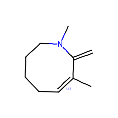 C=C1/C(C)=C\CCCCN1C